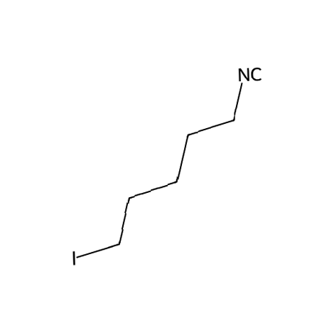 [C-]#[N+]CCCCCI